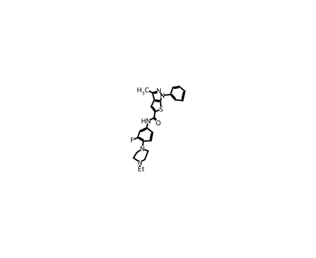 CCN1CCN(c2ccc(NC(=O)c3cc4c(C)nn(-c5ccccc5)c4s3)cc2F)CC1